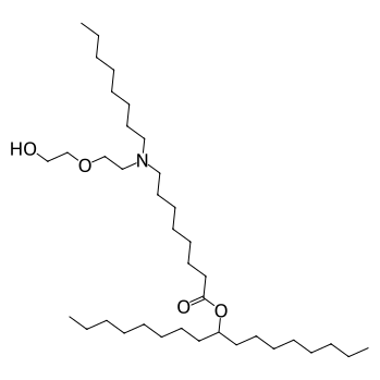 CCCCCCCCC(CCCCCCCC)OC(=O)CCCCCCCN(CCCCCCCC)CCOCCO